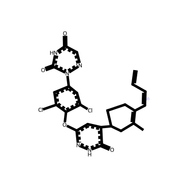 C=C/C=C\C1=C(C)CC(c2cc(Oc3c(Cl)cc(-n4ncc(=O)[nH]c4=O)cc3Cl)n[nH]c2=O)CC1